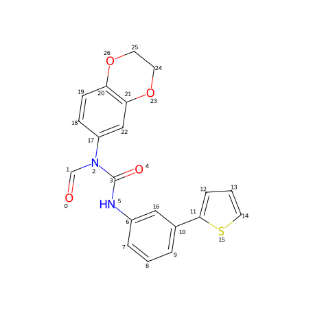 O=CN(C(=O)Nc1cccc(-c2cccs2)c1)c1ccc2c(c1)OCCO2